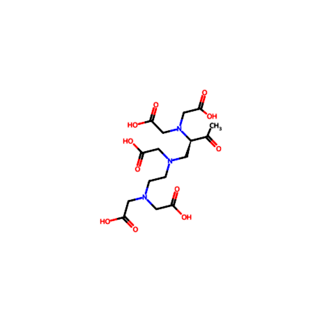 CC(=O)[C@@H](CN(CCN(CC(=O)O)CC(=O)O)CC(=O)O)N(CC(=O)O)CC(=O)O